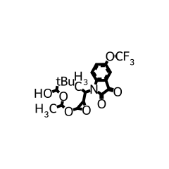 CC(OC1OC1C(C)N1C(=O)C(=O)c2cc(OC(F)(F)F)ccc21)OC(O)C(C)(C)C